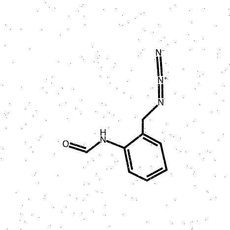 [N-]=[N+]=NCc1ccccc1NC=O